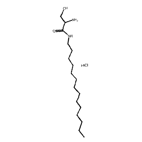 CCCCCCCCCCCCCCNC(=O)C(N)CO.Cl